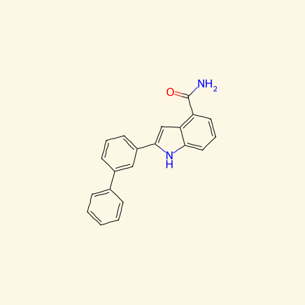 NC(=O)c1cccc2[nH]c(-c3cccc(-c4ccccc4)c3)cc12